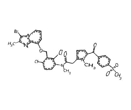 Cc1nc2c(OCc3c(Cl)ccc(N(C)C(=O)Cc4ccc(C(=O)c5ccc(S(C)(=O)=O)cc5)n4C)c3Cl)cccn2c1Br